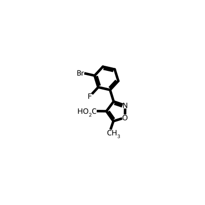 Cc1onc(-c2cccc(Br)c2F)c1C(=O)O